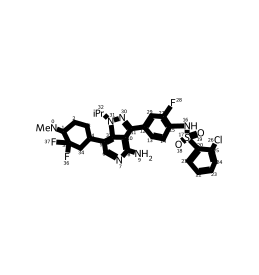 CNC1CCC(c2cnc(N)c3c(-c4ccc(NS(=O)(=O)c5ccccc5Cl)c(F)c4)nn(C(C)C)c23)CC1(F)F